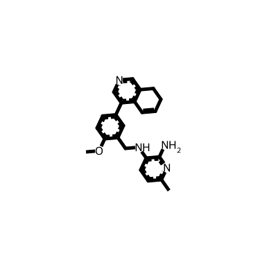 COc1ccc(-c2cncc3c2C=CCC3)cc1CNc1ccc(C)nc1N